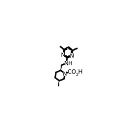 Cc1cc(C)nc(NC[C@@H]2CC[C@H](C)CN2C(=O)O)n1